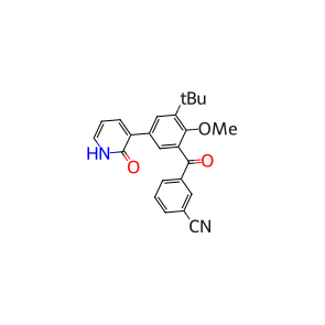 COc1c(C(=O)c2cccc(C#N)c2)cc(-c2ccc[nH]c2=O)cc1C(C)(C)C